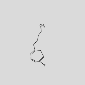 CCCCCC1=CC=CC(F)=CC1